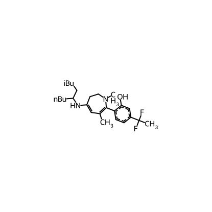 CCCCC(CC(C)CC)NC1=CC(C)=C(c2ccc(C(C)(F)F)cc2O)N(C)CC1